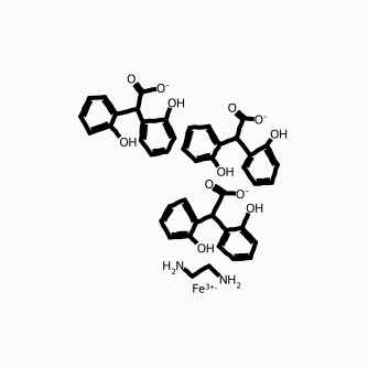 NCCN.O=C([O-])C(c1ccccc1O)c1ccccc1O.O=C([O-])C(c1ccccc1O)c1ccccc1O.O=C([O-])C(c1ccccc1O)c1ccccc1O.[Fe+3]